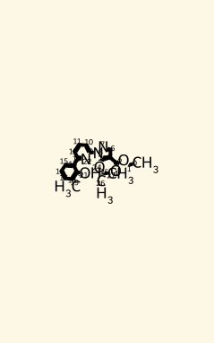 CCOC(=O)c1cnn(-c2cccc(-c3cccc(C)c3O)n2)c1OC(C)C